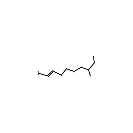 CCC(C)CCCCC=CI